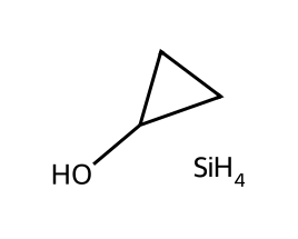 OC1CC1.[SiH4]